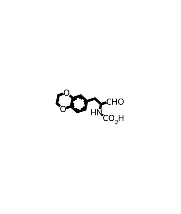 O=CC(Cc1ccc2c(c1)OCCO2)NC(=O)O